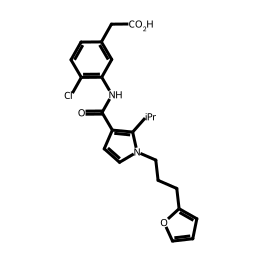 CC(C)c1c(C(=O)Nc2cc(CC(=O)O)ccc2Cl)ccn1CCCc1ccco1